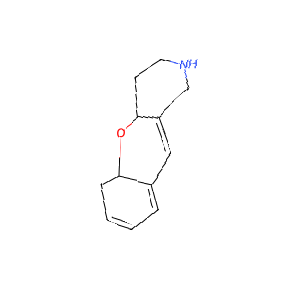 C1=CCC2OC3CCNCC3=CC2=C1